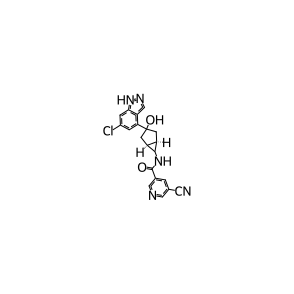 N#Cc1cncc(C(=O)NC2[C@H]3CC(O)(c4cc(Cl)cc5[nH]ncc45)C[C@@H]23)c1